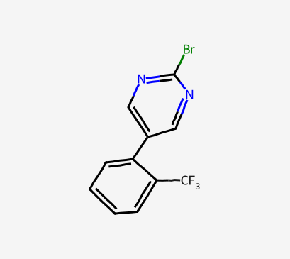 FC(F)(F)c1ccccc1-c1cnc(Br)nc1